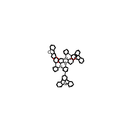 c1ccc(-c2ccccc2N2c3cc(-c4cc5c6ccccc6n6c7ccccc7c(c4)c56)ccc3B3c4ccc(-n5c6ccccc6c6ccccc65)cc4N(c4ccccc4-c4ccccc4)c4cc(-c5ccc6oc7ccccc7c6c5)cc2c43)cc1